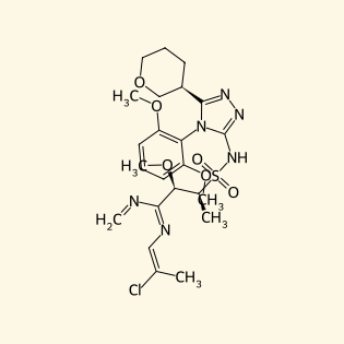 C=N/C(=N\C=C(/C)Cl)[C@@H](OC)[C@H](C)S(=O)(=O)Nc1nnc([C@@H]2CCCOC2)n1-c1c(OC)cccc1OC